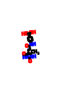 Cc1[nH]c(=O)[nH]c(=O)c1/C=C/C(=O)Nc1ccc(B(O)O)cc1